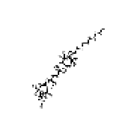 CCCCCCCCCCON1C(C)(C)CC(OC(=O)CCC(=O)OC2CC(C)(C)N(OCC)C(C)(C)C2)CC1(C)C